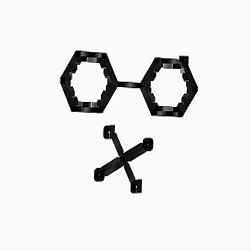 O=S(=O)(Cl)Cl.c1ccc(-c2cccnc2)cc1